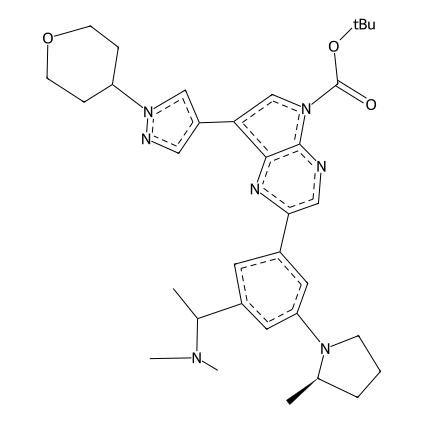 CC(c1cc(-c2cnc3c(n2)c(-c2cnn(C4CCOCC4)c2)cn3C(=O)OC(C)(C)C)cc(N2CCC[C@H]2C)c1)N(C)C